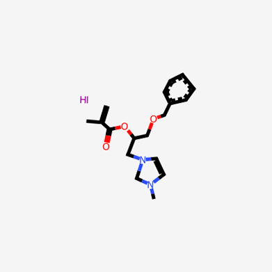 C=C(C)C(=O)OC(COCc1ccccc1)CN1C=CN(C)C1.I